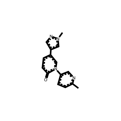 Cc1ccc(-n2cc(-c3cnn(C)c3)ccc2=O)cn1